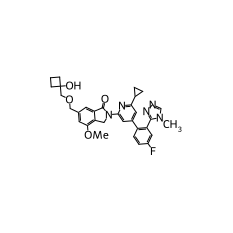 COc1cc(COCC2(O)CCC2)cc2c1CN(c1cc(-c3ccc(F)cc3-c3nncn3C)cc(C3CC3)n1)C2=O